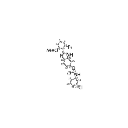 COc1cccc(F)c1-c1nc2ccc(OC(=O)Nc3cccc(Cl)c3)cc2[nH]1